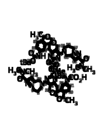 CSc1nc2c(c(N3CCCn4nc(C(=O)N(C)C)cc4C3)n1)CO[C@]1(CO[C@@H](C)c3ccc(N(C(=O)O)C(C)(C)C)cc31)C2.C[C@@H]1OC[C@@]2(Cc3nc(S(C)(=O)=O)nc(N4CCCn5nc(C(=O)N(C)C)cc5C4)c3CO2)c2cc(NC(=O)OC(C)(C)C)ccc21